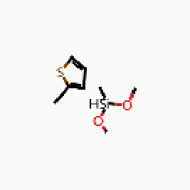 CO[SiH](C)OC.Cc1cccs1